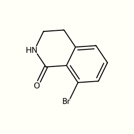 O=C1NCCc2cccc(Br)c21